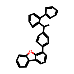 CC(c1ccc(-c2cccc3c2oc2ccccc23)cc1)c1ccccc1-c1ccccc1